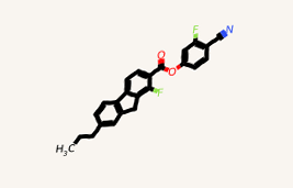 CCCc1ccc2c(c1)Cc1c-2ccc(C(=O)Oc2ccc(C#N)c(F)c2)c1F